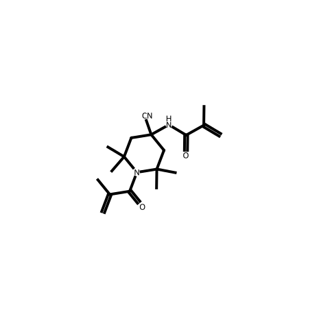 C=C(C)C(=O)NC1(C#N)CC(C)(C)N(C(=O)C(=C)C)C(C)(C)C1